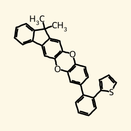 CC1(C)c2ccccc2-c2cc3c(cc21)Oc1ccc(-c2ccccc2-c2cccs2)cc1O3